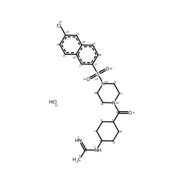 CC(=N)NC1CCC(C(=O)N2CCN(S(=O)(=O)c3ccc4cc(Cl)ccc4c3)CC2)CC1.Cl